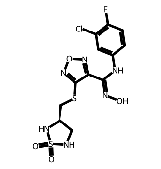 O=S1(=O)NC[C@H](CSc2nonc2/C(=N/O)Nc2ccc(F)c(Cl)c2)N1